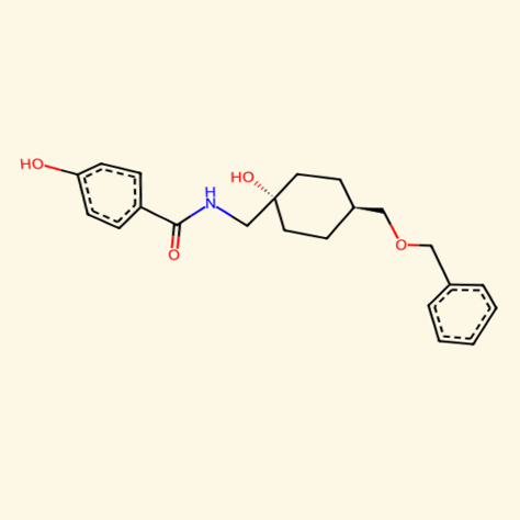 O=C(NC[C@]1(O)CC[C@H](COCc2ccccc2)CC1)c1ccc(O)cc1